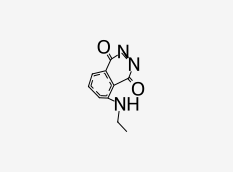 CCNc1cccc2c1C(=O)N=NC2=O